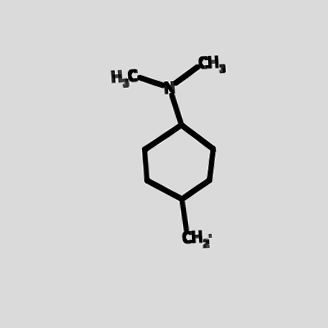 [CH2]C1CCC(N(C)C)CC1